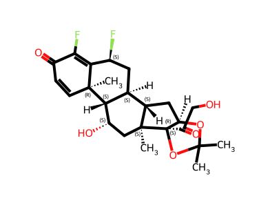 CC1(C)O[C@@H]2C[C@H]3[C@@H]4C[C@H](F)C5=C(F)C(=O)C=C[C@]5(C)[C@H]4[C@@H](O)C[C@]3(C)[C@]2(C(=O)CO)O1